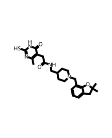 Cc1nc(S)[nH]c(=O)c1CC(=O)NCC1CCN(Cc2cccc3c2OC(C)(C)C3)CC1